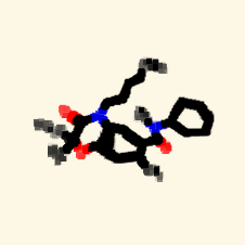 COCCCCN1C(=O)C(C)(C(=O)O)Oc2cc(C)c(C(=O)N(C(C)C)C3CCCCC3)cc21